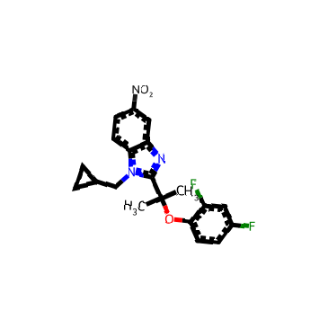 CC(C)(Oc1ccc(F)cc1F)c1nc2cc([N+](=O)[O-])ccc2n1CC1CC1